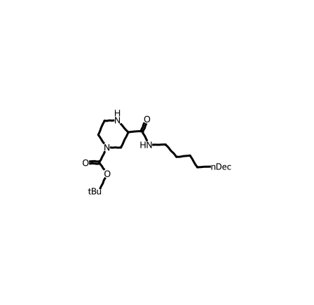 CCCCCCCCCCCCCCNC(=O)C1CN(C(=O)OC(C)(C)C)CCN1